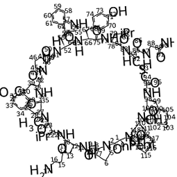 CCCCC[C@H]1C(=O)N2CCC[C@@H]2C(=O)N[C@@H](CCCCN)C(=O)N[C@@H](C(C)C)C(=O)N(C)[C@@H](Cc2ccccc2)C(=O)N[C@@H](CCC(=O)O)C(=O)N2CCC[C@@H]2C(=O)N[C@@H](Cc2c[nH]c3ccccc23)C(=O)N[C@@H](Cc2ccc(O)cc2)C(=O)N[C@@H](CC(C)C)C(=O)N[C@H](C(=O)NCC(N)=O)CSCC(=O)N[C@@H](Cc2ccccc2)C(=O)N(C)[C@@H](Cc2ccccc2)C(=O)N1C